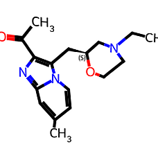 CCN1CCO[C@@H](Cc2c(C(C)=O)nc3cc(C)ccn23)C1